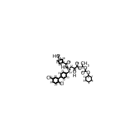 CC(OC(=O)OC1CCCCC1)OC(=O)[C@H](O)CN(Cc1ccc(-c2cc(Cl)ccc2Cl)cc1)NC(=O)c1cn(O)nn1